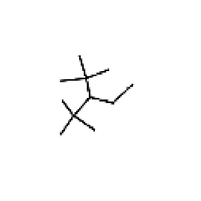 [CH2]CC(C(C)(C)C)C(C)(C)C